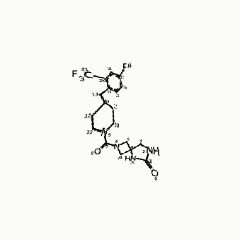 O=C1NCC2(CN(C(=O)N3CCC(Cc4ccc(F)cc4C(F)(F)F)CC3)C2)N1